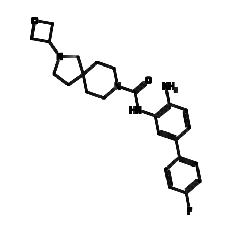 Nc1ccc(-c2ccc(F)cc2)cc1NC(=O)N1CCC2(CC1)CCN(C1COC1)C2